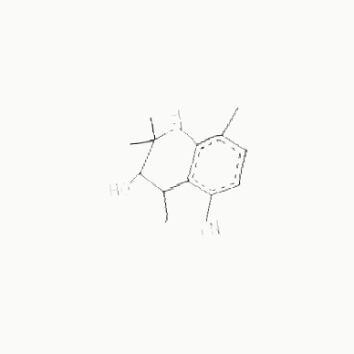 Cc1ccc(C#N)c2c1NC(C)(C)C(O)C2C